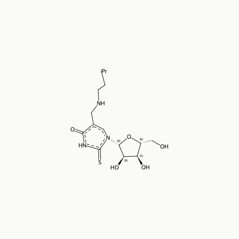 CC(C)CCNCc1cn([C@@H]2O[C@H](CO)[C@@H](O)[C@H]2O)c(=S)[nH]c1=O